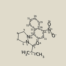 CC(C)C(=O)N1CCCCN1c1ccc([N+](=O)[O-])c2ccccc12